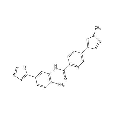 Cn1cc(-c2ccc(C(=O)Nc3cc(-c4nnco4)ccc3N)nc2)cn1